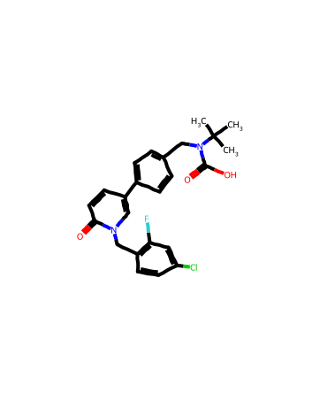 CC(C)(C)N(Cc1ccc(-c2ccc(=O)n(Cc3ccc(Cl)cc3F)c2)cc1)C(=O)O